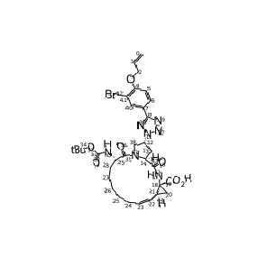 C=CCOc1ccc(-c2nnn([C@@H]3C[C@H]4C(=O)N[C@]5(C(=O)O)C[C@H]5/C=C\CCCCC[C@H](NC(=O)OC(C)(C)C)C(=O)N4C3)n2)cc1Br